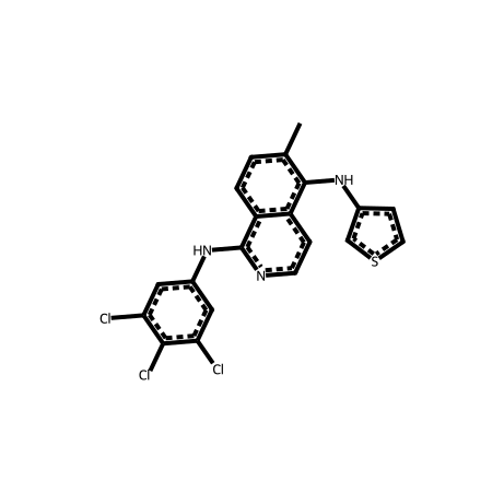 Cc1ccc2c(Nc3cc(Cl)c(Cl)c(Cl)c3)nccc2c1Nc1ccsc1